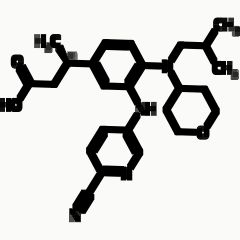 CC(C)CN(c1ccc([C@H](C)CC(=O)O)cc1Nc1ccc(C#N)nc1)C1CCOCC1